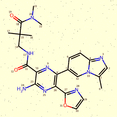 Cc1cnc2ccc(-c3nc(C(=O)NCC(C)(C)C(=O)N(C)C)c(N)nc3-c3ncco3)cn12